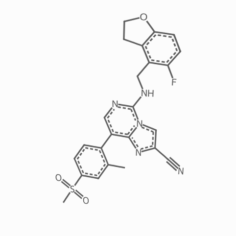 Cc1cc(S(C)(=O)=O)ccc1-c1cnc(NCc2c(F)ccc3c2CCO3)n2cc(C#N)nc12